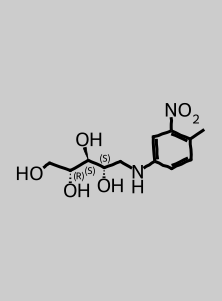 Cc1ccc(NC[C@H](O)[C@H](O)[C@H](O)CO)cc1[N+](=O)[O-]